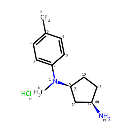 CN(c1ccc(C(F)(F)F)cc1)[C@H]1CC[C@@H](N)C1.Cl